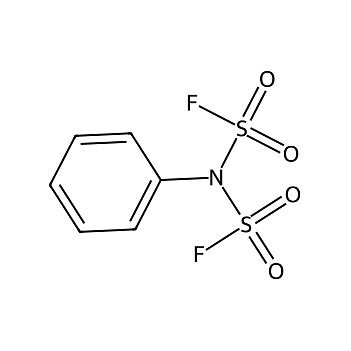 O=S(=O)(F)N(c1ccccc1)S(=O)(=O)F